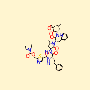 CCN(CC)C(=O)OCc1ncc(C(=O)N[C@@H](CCc2ccccc2)C(=O)N[C@H]2CC(C)N([C@@H](Cc3ccccc3)C(=O)N[C@@H](CC(C)C)C(=O)C3(C)CO3)C2=O)s1